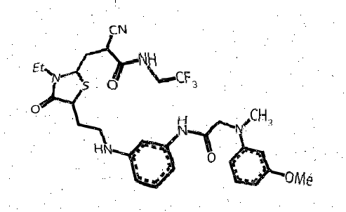 CCN1C(=O)C(CCNc2cccc(NC(=O)CN(C)c3cccc(OC)c3)c2)SC1CC(C#N)C(=O)NCC(F)(F)F